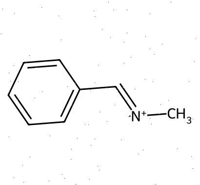 C[N+]=Cc1ccccc1